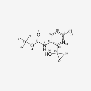 CC(C)(C)OC(=O)Nc1ccc(Cl)nc1C1(O)CC1